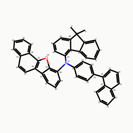 CC1(C)c2ccccc2-c2c(N(c3ccc(-c4cccc5ccccc45)cc3)c3cccc4c3oc3c5ccccc5ccc43)cccc21